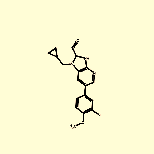 COc1ccc(-c2cnc3c(c2)N(CC2CC2)C(C=O)N3)cc1F